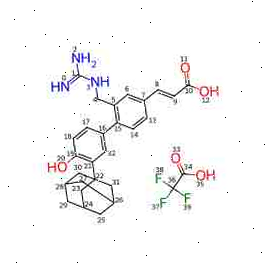 N=C(N)NCc1cc(C=CC(=O)O)ccc1-c1ccc(O)c(C23CC4CC(CC(C4)C2)C3)c1.O=C(O)C(F)(F)F